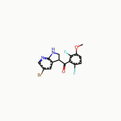 COc1ccc(F)c(C(=O)C2CNc3ncc(Br)cc32)c1F